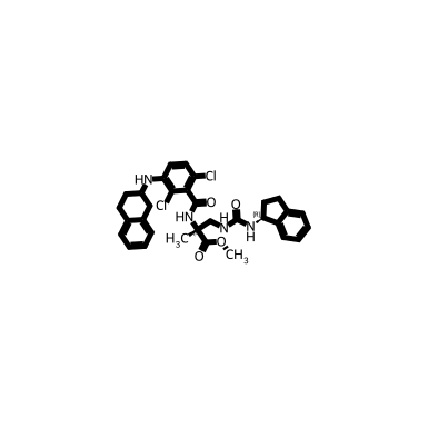 COC(=O)[C@@](C)(CNC(=O)N[C@@H]1CCc2ccccc21)NC(=O)c1c(Cl)ccc(NC2CCc3ccccc3C2)c1Cl